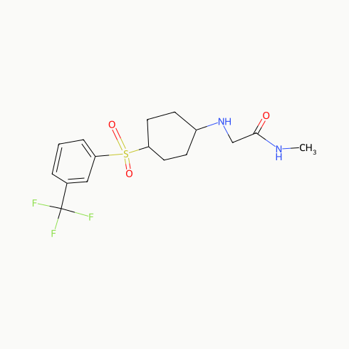 CNC(=O)CNC1CCC(S(=O)(=O)c2cccc(C(F)(F)F)c2)CC1